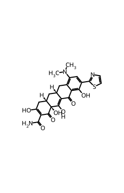 CN(C)c1cc(-c2nccs2)c(O)c2c1C[C@H]1C[C@H]3CC(O)=C(C(N)=O)C(=O)[C@@]3(O)C(O)=C1C2=O